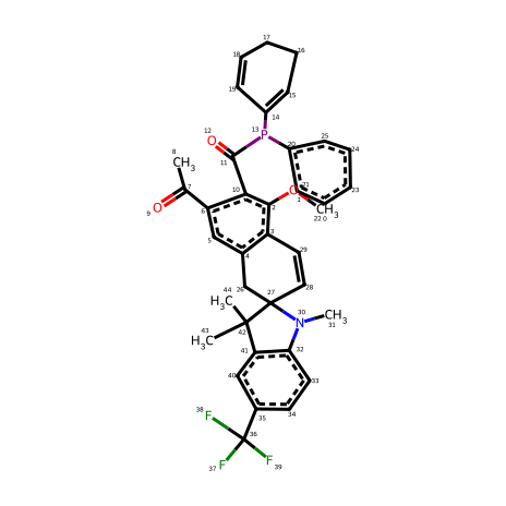 COc1c2c(cc(C(C)=O)c1C(=O)P(C1=CCCC=C1)c1ccccc1)CC1(C=C2)N(C)c2ccc(C(F)(F)F)cc2C1(C)C